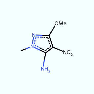 COc1nn(C)c(N)c1[N+](=O)[O-]